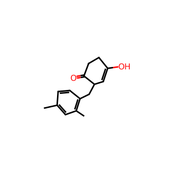 Cc1ccc(CC2C=C(O)CCC2=O)c(C)c1